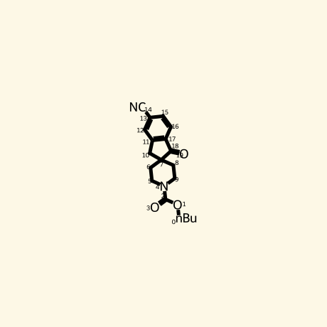 CCCCOC(=O)N1CCC2(CC1)Cc1cc(C#N)ccc1C2=O